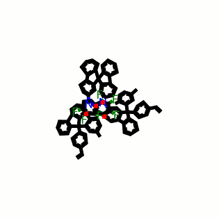 C=Cc1ccc(C2(c3cc(C)ccc3C)c3ccccc3-c3ccc(N(c4ccc5c(c4)C4(c6ccccc6-5)c5ccccc5-c5ccc(N(c6ccc7c(c6)C(c6ccc(C=C)cc6)(c6cc(C)ccc6C)c6ccccc6-7)c6ccc(F)c(F)c6F)cc54)c4ccc(F)c(F)c4F)cc32)cc1